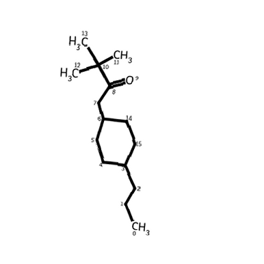 CCCC1CCC(CC(=O)C(C)(C)C)CC1